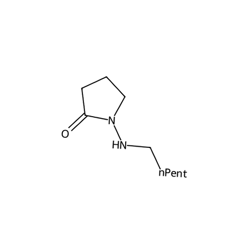 CCCCCCNN1CCCC1=O